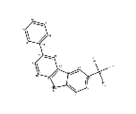 FC(F)(F)c1ccc2[nH]c3ccc(-c4ccccc4)cc3c2c1